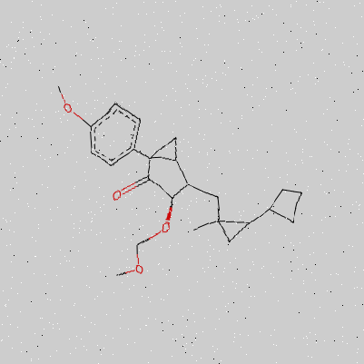 COCO[C@H]1C(=O)C2(c3ccc(OC)cc3)CC2C1CC1(C)CC1C1CCC1